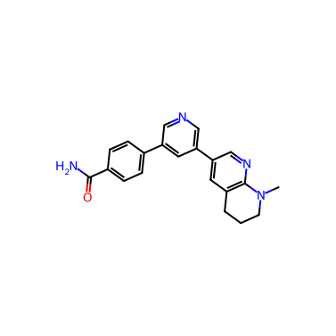 CN1CCCc2cc(-c3cncc(-c4ccc(C(N)=O)cc4)c3)cnc21